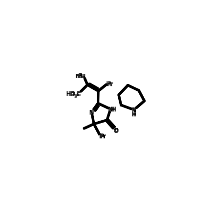 C1CCNCC1.CCCCC(C(=O)O)=C(C1=NC(C)(C(C)C)C(=O)N1)C(C)C